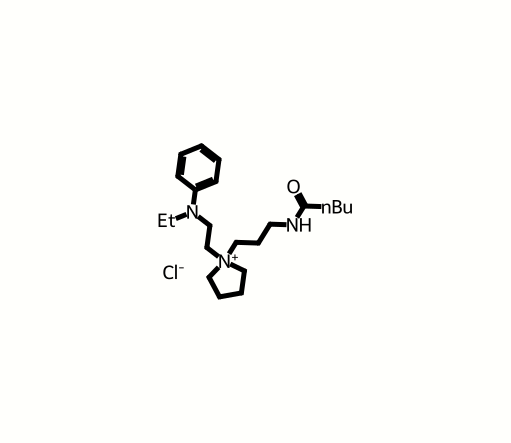 CCCCC(=O)NCCC[N+]1(CCN(CC)c2ccccc2)CCCC1.[Cl-]